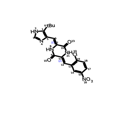 CC(C)(C)c1[nH]cnc1/C=c1\[nH]c(=O)/c(=C/c2cc([N+](=O)[O-])ccc2Cl)[nH]c1=O